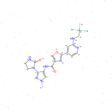 O=C(Nc1cn(I)nc1N1CCNC1=O)c1coc(-c2ccnc(NCC(F)(F)F)c2)n1